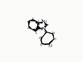 [c]1nc2ccccc2n1C1CCCCC1